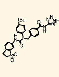 CC(C)(C)c1ccc(N(Cc2ccc(C(=O)Nc3nn[nH]n3)cc2)C(=O)Nc2ccc3c(c2)S(=O)(=O)CC3)cc1